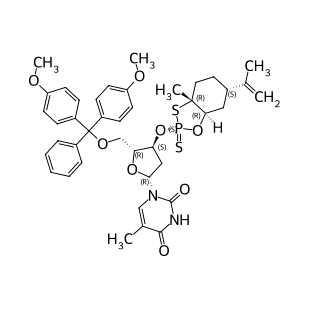 C=C(C)[C@H]1CC[C@@]2(C)S[P@@](=S)(O[C@H]3C[C@H](n4cc(C)c(=O)[nH]c4=O)O[C@@H]3COC(c3ccccc3)(c3ccc(OC)cc3)c3ccc(OC)cc3)O[C@@H]2C1